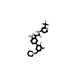 O=C(Nc1ccnc(C(F)(F)F)c1)c1n[nH]c2ccc(-c3cc(CN4CCCCC4)cc(F)c3F)cc12